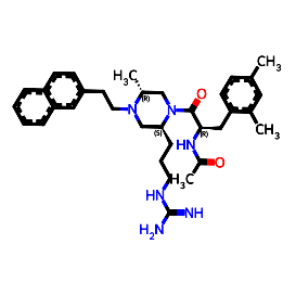 CC(=O)N[C@H](Cc1ccc(C)cc1C)C(=O)N1C[C@@H](C)N(CCc2ccc3ccccc3c2)C[C@@H]1CCCNC(=N)N